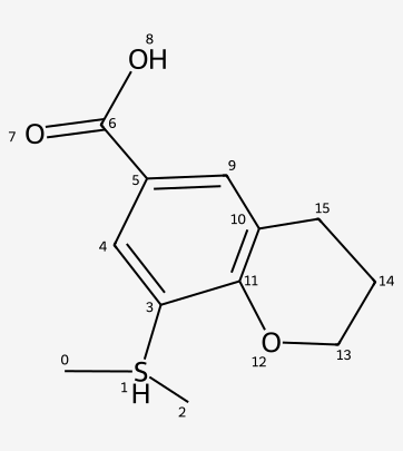 C[SH](C)c1cc(C(=O)O)cc2c1OCCC2